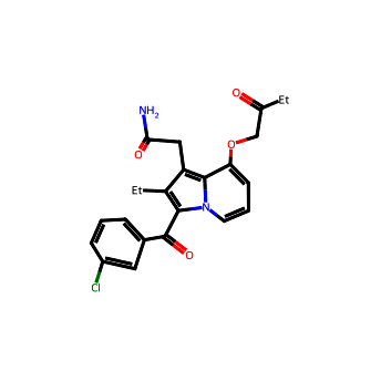 CCC(=O)COc1cccn2c(C(=O)c3cccc(Cl)c3)c(CC)c(CC(N)=O)c12